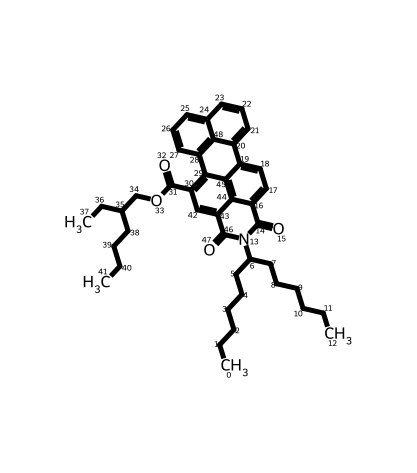 CCCCCCC(CCCCCC)N1C(=O)c2ccc3c4cccc5cccc(c6c(C(=O)OCC(CC)CCCC)cc(c2c36)C1=O)c54